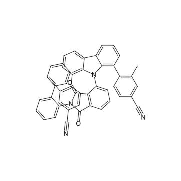 Cc1cc(C#N)ccc1-c1cccc2c3cccc(-c4ccc(C#N)cc4C)c3n(-c3cccc4c3C(=O)N(c3ccccc3-c3ccccc3)C4=O)c12